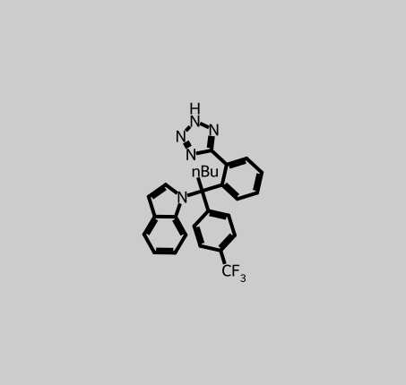 CCCCC(c1ccc(C(F)(F)F)cc1)(c1ccccc1-c1nn[nH]n1)n1ccc2ccccc21